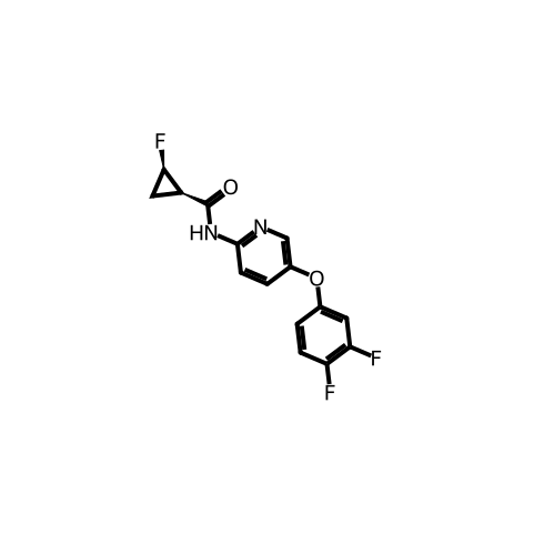 O=C(Nc1ccc(Oc2ccc(F)c(F)c2)cn1)[C@H]1C[C@H]1F